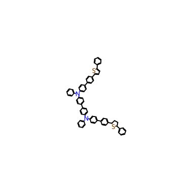 c1ccc(-c2ccc(-c3ccc(-c4ccc(N(c5ccccc5)c5ccc(-c6ccc(N(c7ccccc7)c7ccc(-c8ccc(C9CCC(c%10ccccc%10)S9)cc8)cc7)cc6)cc5)cc4)cc3)s2)cc1